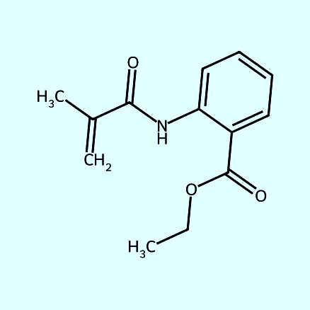 C=C(C)C(=O)Nc1ccccc1C(=O)OCC